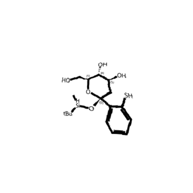 C[SiH](O[C@]1(c2ccccc2S)C[C@H](O)[C@@H](O)[C@H](CO)O1)C(C)(C)C